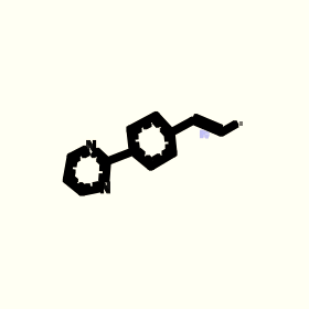 [CH2]/C=C/c1ccc(-c2ncccn2)cc1